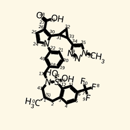 C[C@H]1Cc2ccc(C(F)(F)F)cc2S(O)(O)N(Cc2cccc(-n3ccc(C(=O)O)c3C3CC3c3cn(C)nn3)c2)C1